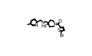 Cc1ccc(CNCC2(F)CCN(C(=O)c3ccc(Br)s3)CC2)nc1